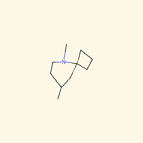 CC1CCN(C)C2(CCC2)C1